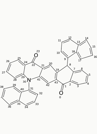 O=C1c2ccccc2C(c2cccc3ccccc23)c2cc3c(=O)c4ccccc4n(-c4cccc5ccccc45)c3cc21